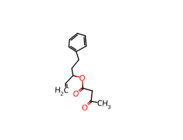 C=CC(CCc1ccccc1)OC(=O)CC(C)=O